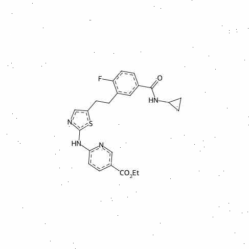 CCOC(=O)c1ccc(Nc2ncc(CCc3cc(C(=O)NC4CC4)ccc3F)s2)nc1